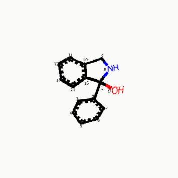 OC1(c2ccccc2)NCc2ccccc21